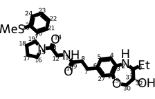 CCC1Nc2ccc(CCC(=O)NCC(=O)N3CCC[C@@H]3c3ccccc3SC)cc2OC[C@H]1O